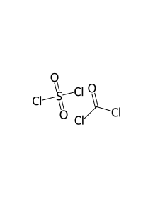 O=C(Cl)Cl.O=S(=O)(Cl)Cl